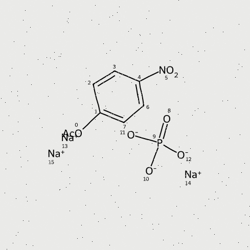 CC(=O)Oc1ccc([N+](=O)[O-])cc1.O=P([O-])([O-])[O-].[Na+].[Na+].[Na+]